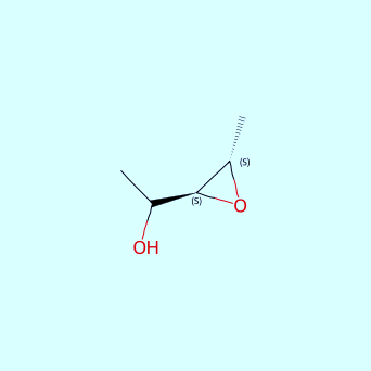 CC(O)[C@@H]1O[C@H]1C